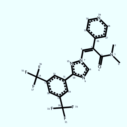 CN(C)C(=O)C(=Cn1cnc(-c2cc(C(F)(F)F)cc(C(F)(F)F)c2)n1)c1ccncc1